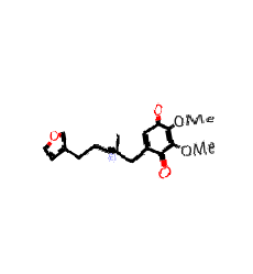 COC1=C(OC)C(=O)C(C/C(C)=C/CCc2ccoc2)=CC1=O